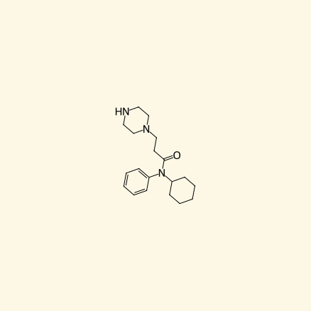 O=C(CCN1CCNCC1)N(c1ccccc1)C1CCCCC1